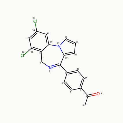 CC(=O)c1ccc(C2=NCc3c(Cl)cc(Cl)cc3-n3cccc32)cc1